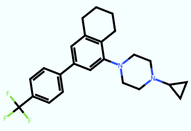 FC(F)(F)c1ccc(-c2cc3c(c(N4CCN(C5CC5)CC4)c2)CCCC3)cc1